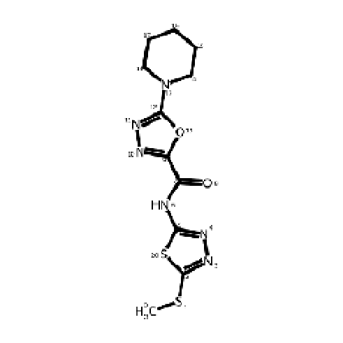 CSc1nnc(NC(=O)c2nnc(N3CCCCC3)o2)s1